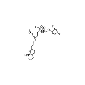 COCCN(CCCCc1ccc2c(n1)NCCC2)CC[C@H](NC(=O)COc1ccc(F)cc1F)C(=O)O